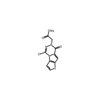 COC(=O)Cn1nc(Cl)n2c(cc3sccc32)c1=O